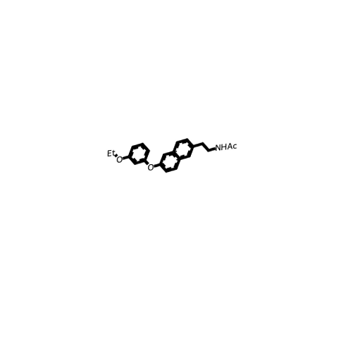 CCOc1cccc(Oc2ccc3cc(CCNC(C)=O)ccc3c2)c1